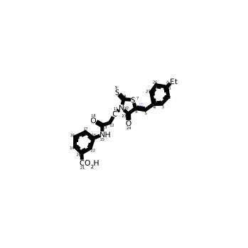 CCc1ccc(/C=C2\SC(=S)N(CCC(=O)Nc3cccc(C(=O)O)c3)C2=O)cc1